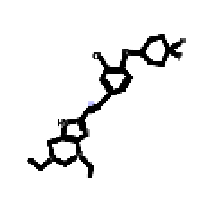 CCN1Cc2[nH]c(/C=C/c3ccc(OC4CCC(F)(F)CC4)c(Cl)c3)nc2N(CC)C1